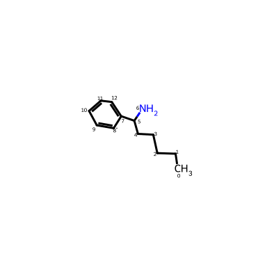 CCCCCC(N)c1[c]cccc1